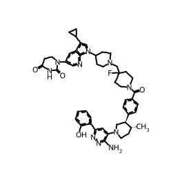 C[C@@H]1CCN(c2cc(-c3ccccc3O)nnc2N)C[C@H]1c1ccc(C(=O)N2CCC(F)(CN3CCC(n4cc(C5CC5)c5cc(N6CCC(=O)NC6=O)cnc54)CC3)CC2)cc1